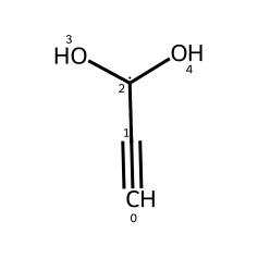 C#C[C](O)O